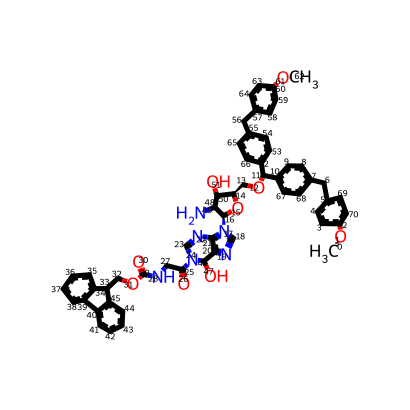 COc1ccc(Cc2ccc(C(OC[C@H]3O[C@@H](n4cnc5c4N=CN(C(=O)CNC(=O)OCC4c6ccccc6-c6ccccc64)C5O)C(N)C3O)c3ccc(Cc4ccc(OC)cc4)cc3)cc2)cc1